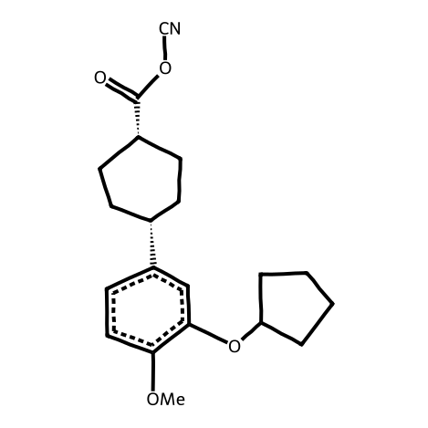 COc1ccc([C@H]2CC[C@@H](C(=O)OC#N)CC2)cc1OC1CCCC1